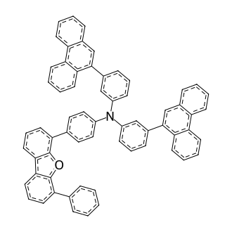 c1ccc(-c2cccc3c2oc2c(-c4ccc(N(c5cccc(-c6cc7ccccc7c7ccccc67)c5)c5cccc(-c6cc7ccccc7c7ccccc67)c5)cc4)cccc23)cc1